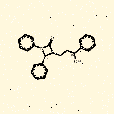 O=C1C(CC[C@H](O)c2ccccc2)[C@@H](c2ccccc2)N1c1ccccc1